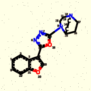 c1ccc2c(-c3nnc(N4CCN5CCC4CC5)o3)coc2c1